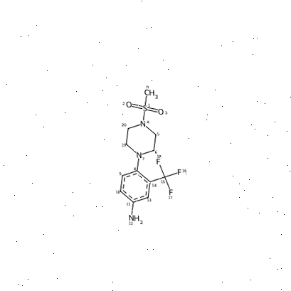 CS(=O)(=O)N1CCN(c2ccc(N)cc2C(F)(F)F)CC1